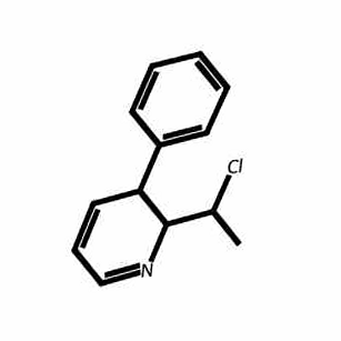 CC(Cl)C1N=CC=CC1c1ccccc1